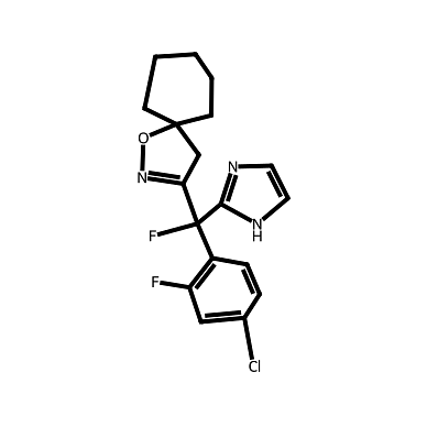 Fc1cc(Cl)ccc1C(F)(C1=NOC2(CCCCC2)C1)c1ncc[nH]1